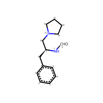 O=CN[C@@H](Cc1ccccc1)CN1CCCC1